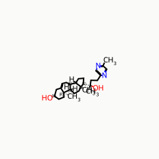 Cc1cnc(CCC(C)(O)[C@H]2CC[C@H]3[C@@H]4CC=C5C[C@@H](O)CC[C@]5(C)[C@H]4CC[C@]23C)cn1